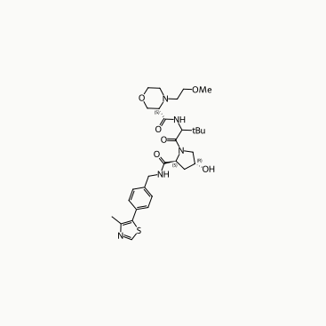 COCCN1CCOC[C@H]1C(=O)NC(C(=O)N1C[C@H](O)C[C@H]1C(=O)NCc1ccc(-c2scnc2C)cc1)C(C)(C)C